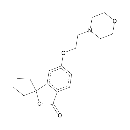 CCC1(CC)OC(=O)c2ccc(OCCN3CCOCC3)cc21